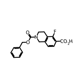 O=C(O)c1ccc2c(c1F)CCN(C(=O)OCc1ccccc1)C2